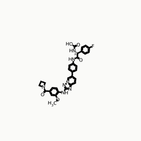 COc1cc(C(=O)N2CCC2)ccc1Nc1nc2ccc(-c3ccc(NC(=O)[C@H](NC(=O)O)c4ccc(F)cc4)cc3)cn2n1